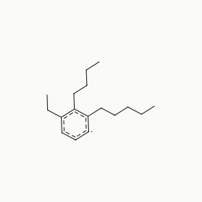 CCCCCc1[c]ccc(CC)c1CCCC